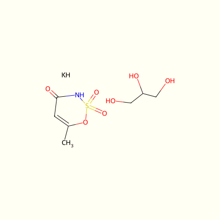 CC1=CC(=O)NS(=O)(=O)O1.OCC(O)CO.[KH]